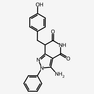 Nc1c2c(nn1-c1ccccc1)C(Cc1ccc(O)cc1)C(=O)NC2=O